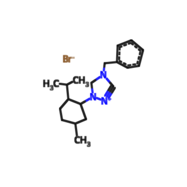 CC1CCC(C(C)C)C(N2CN(Cc3ccccc3)C#[N+]2)C1.[Br-]